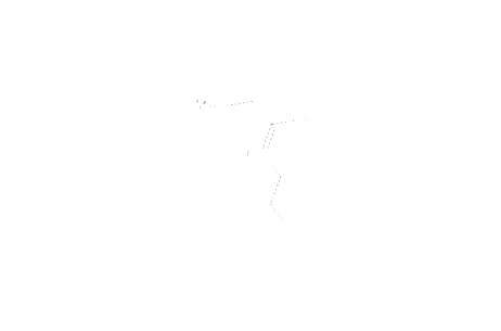 COCC(O)=[SH]CCI